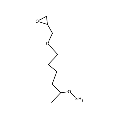 CC(CCCCOCC1CO1)O[SiH3]